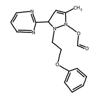 CC1=CC(c2ncccn2)N(CCOc2ccccc2)N1OC=O